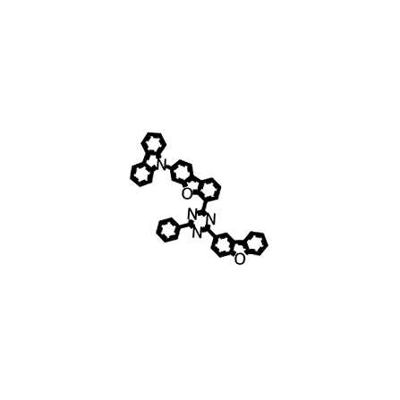 c1ccc(-c2nc(-c3ccc4oc5ccccc5c4c3)nc(-c3cccc4c3oc3cc(-n5c6ccccc6c6ccccc65)ccc34)n2)cc1